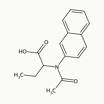 CCC(C(=O)O)N(C(C)=O)c1ccc2ccccc2c1